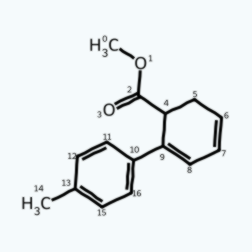 COC(=O)C1CC=CC=C1c1ccc(C)cc1